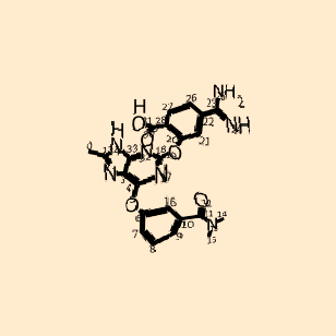 Cc1nc2c(Oc3cccc(C(=O)N(C)C)c3)nc(Oc3cc(C(=N)N)ccc3C(=O)O)nc2[nH]1